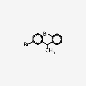 C[C](c1cccc(Br)c1)c1ccccc1Br